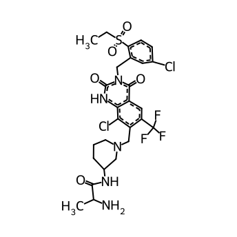 CCS(=O)(=O)c1ccc(Cl)cc1Cn1c(=O)[nH]c2c(Cl)c(CN3CCCC(NC(=O)C(C)N)C3)c(C(F)(F)F)cc2c1=O